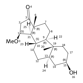 CO[C@H]1CC(=O)[C@]2(C)CC[C@@H]3[C@H](CC[C@@H]4C[C@H](O)CC[C@]43C)[C@@H]12